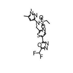 CCS(=O)(=O)N(Cc1ncc(-c2nnc(C(F)F)o2)s1)c1cc(C)n(C)n1